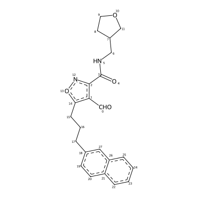 O=Cc1c(C(=O)NCC2CCOC2)noc1CCCc1ccc2ccccc2c1